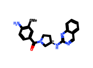 COc1cc(C(=O)N2CC[C@H](Nc3ncc4ccccc4n3)C2)ccc1N